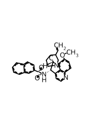 C=CC1CN2CCC1C[C@H]2[C@@H](NS(=O)(=O)c1ccc2ccccc2c1)c1ccnc2ccc(OC)cc12